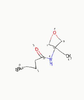 CC(C)(C)CC(=O)NC1(C)COC1